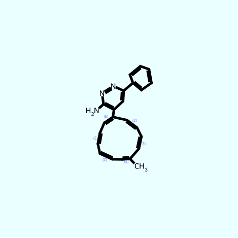 CC1=C/C=C\C=C/C=C(c2cc(-c3ccccc3)nnc2N)\C=C/C=C\1